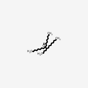 CCCCCCCCC(CCCC)C(CCCCCCCC)(CCCCCCCC)[O][Sn]